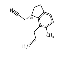 C=CCc1c(C)ccc2c1[C@H](CC#N)CC2